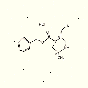 C[C@@H]1CN(C(=O)OCc2ccccc2)[C@@H](CC#N)CN1.Cl